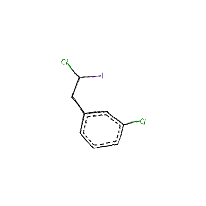 Clc1cccc(CC(Cl)I)c1